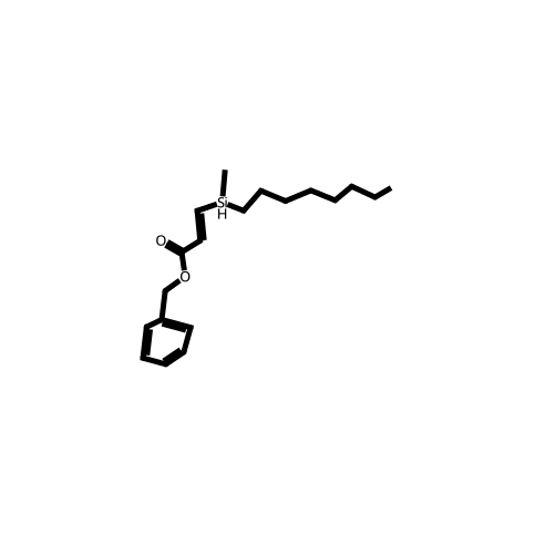 CCCCCCCC[SiH](C)/C=C/C(=O)OCc1ccccc1